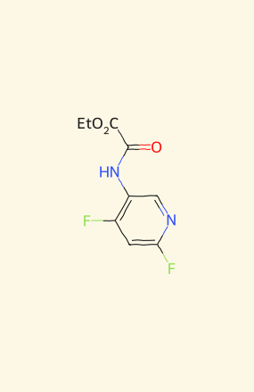 CCOC(=O)C(=O)Nc1cnc(F)cc1F